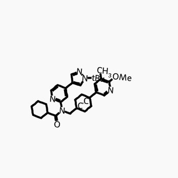 COc1ncc(C23CCC(CN(C(=O)C4CCCCC4)c4cc(-c5cnn(C(C)(C)C)c5)ccn4)(CC2)CC3)cc1C